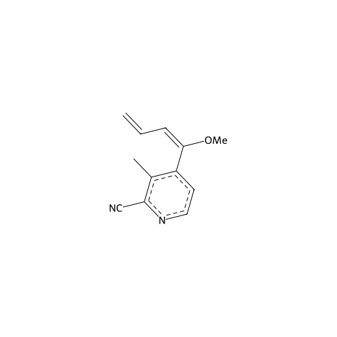 C=C/C=C(/OC)c1ccnc(C#N)c1C